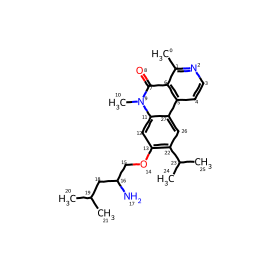 Cc1nccc2c1c(=O)n(C)c1cc(OCC(N)CC(C)C)c(C(C)C)cc21